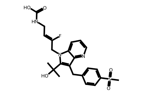 CC(C)(O)c1c(Cc2ccc(S(C)(=O)=O)cc2)c2ncccc2n1CC(F)=CCNC(=O)O